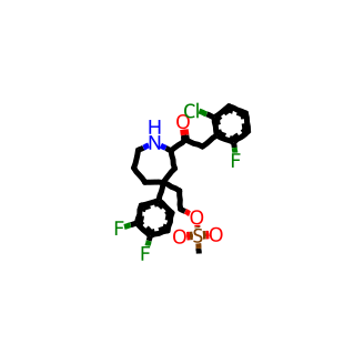 CS(=O)(=O)OCCC1(c2ccc(F)c(F)c2)CCCNC(C(=O)Cc2c(F)cccc2Cl)C1